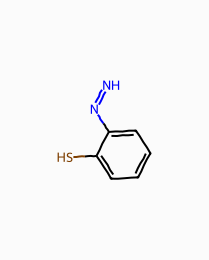 N=Nc1ccccc1S